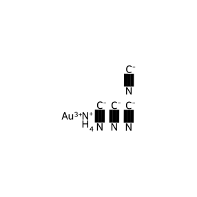 [Au+3].[C-]#N.[C-]#N.[C-]#N.[C-]#N.[NH4+]